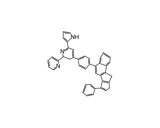 C1=C(c2ccc(-c3cc4c(c5ccccc35)CC3=C4C(c4ccccc4)=CC3)cc2)CC(c2ccccn2)N=C1c1ccc[nH]1